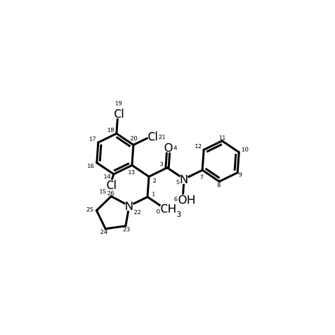 CC(C(C(=O)N(O)c1ccccc1)c1c(Cl)ccc(Cl)c1Cl)N1CCCC1